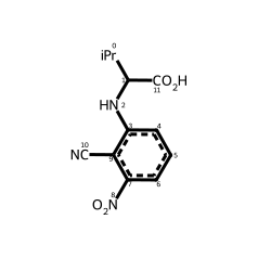 CC(C)C(Nc1cccc([N+](=O)[O-])c1C#N)C(=O)O